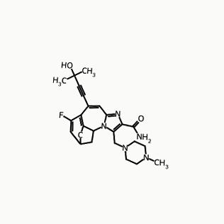 CN1CCN(Cc2c(C(N)=O)nc3n2C2CC4C=C(F)C(=C2C4)C(C#CC(C)(C)O)=C3)CC1